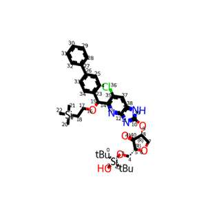 CC(C)(C)[Si](O)(OC[C@H]1OC[C@@H](Oc2nc3nc(C(OCC[Si](C)(C)C)c4ccc(-c5ccccc5)cc4)c(Cl)cc3[nH]2)C1=O)C(C)(C)C